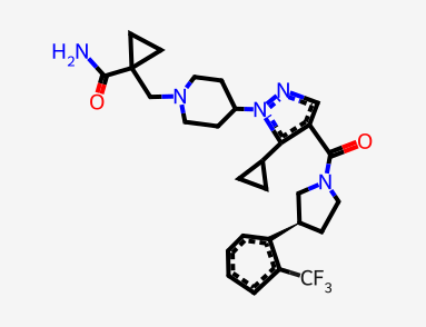 NC(=O)C1(CN2CCC(n3ncc(C(=O)N4CC[C@@H](c5ccccc5C(F)(F)F)C4)c3C3CC3)CC2)CC1